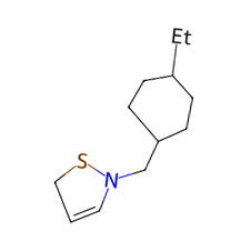 CCC1CCC(CN2C=CCS2)CC1